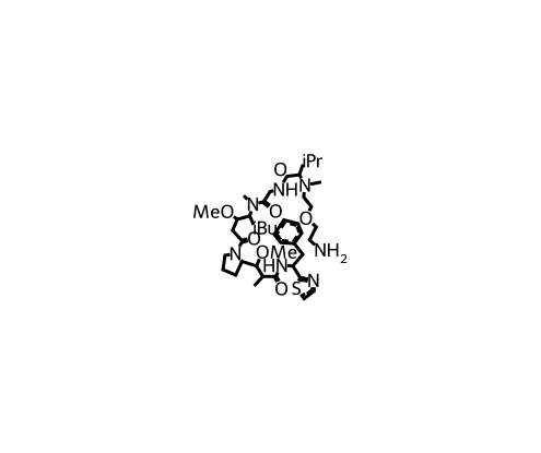 CCC(C)C(C(CC(=O)N1CCCC1C(OC)C(C)C(=O)NC(Cc1ccccc1)c1nccs1)OC)N(C)C(=O)CNC(=O)C(C(C)C)N(C)CCOCCN